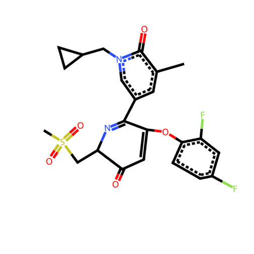 Cc1cc(C2=NC(CS(C)(=O)=O)C(=O)C=C2Oc2ccc(F)cc2F)cn(CC2CC2)c1=O